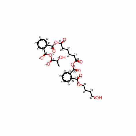 CC(O)C(=O)OC(=O)c1ccccc1C(=O)OC(=O)CCCCC(=O)OC(=O)c1ccccc1C(=O)OCCCCO